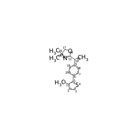 Cc1ccsc1-c1ccc(C(C)C2=NC(C)(C)CO2)cc1